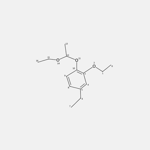 CCOc1cc(CC)ccc1OC(C)OCC